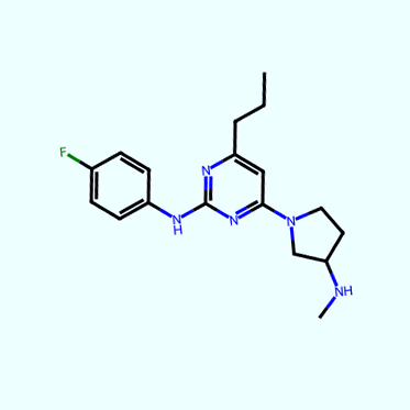 CCCc1cc(N2CCC(NC)C2)nc(Nc2ccc(F)cc2)n1